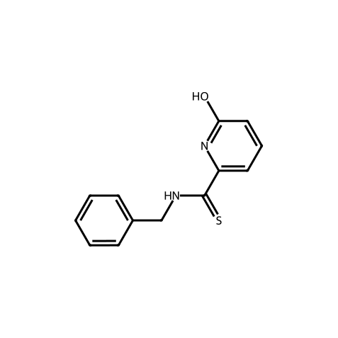 Oc1cccc(C(=S)NCc2ccccc2)n1